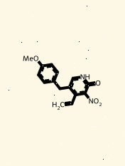 C=Cc1c(Cc2ccc(OC)cc2)c[nH]c(=O)c1[N+](=O)[O-]